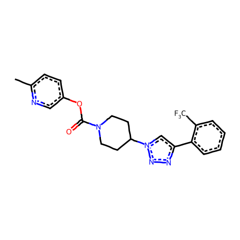 Cc1ccc(OC(=O)N2CCC(n3cc(-c4ccccc4C(F)(F)F)nn3)CC2)cn1